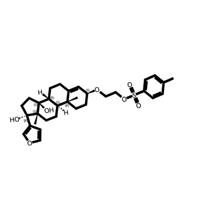 Cc1ccc(S(=O)(=O)OCCO[C@@H]2C=C3CC[C@@H]4[C@H](CC[C@]5(C)[C@@](O)(c6ccoc6)CC[C@]45O)[C@@]3(C)CC2)cc1